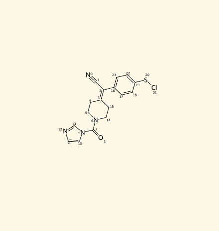 N#CC(=C1CCN(C(=O)n2ccnc2)CC1)c1ccc(SCl)cc1